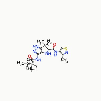 Cc1nscc1NC(=O)C1Nc2c(NC(=O)C3([Si](C)(C)C)CCC3)n[nH]c2C1(C)C